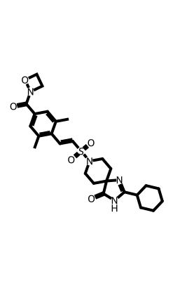 Cc1cc(C(=O)N2CCO2)cc(C)c1/C=C/S(=O)(=O)N1CCC2(CC1)N=C(C1CCCCC1)NC2=O